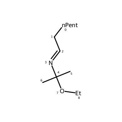 CCCCCC/C=N/C(C)(C)OCC